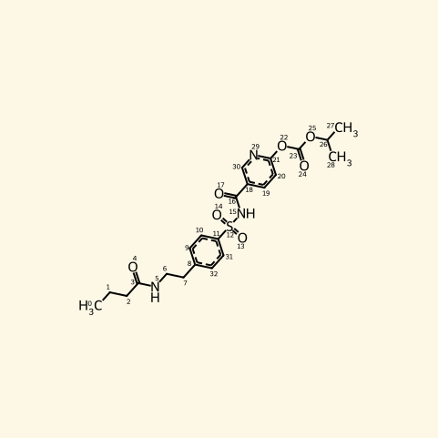 CCCC(=O)NCCc1ccc(S(=O)(=O)NC(=O)c2ccc(OC(=O)OC(C)C)nc2)cc1